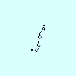 CC(C)(C)c1cc(NC(=O)Cc2ccc(NC(=O)c3ccc(OC4CCN(C5COC5)C4)cn3)cc2)no1